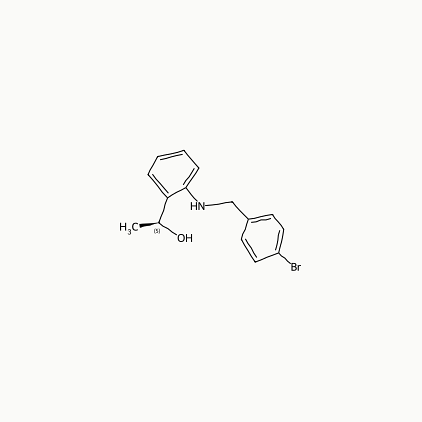 C[C@H](O)c1ccccc1NCc1ccc(Br)cc1